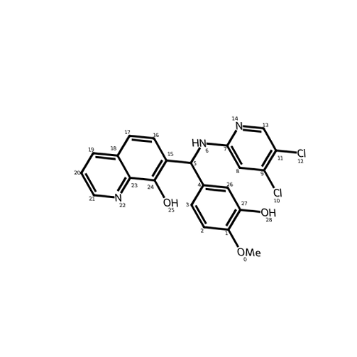 COc1ccc(C(Nc2cc(Cl)c(Cl)cn2)c2ccc3cccnc3c2O)cc1O